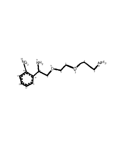 NCCOCCOCC(N)c1ccccc1[N+](=O)[O-]